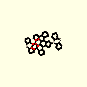 c1ccc(-c2ccccc2-c2c3ccc(N4c5ccccc5Sc5ccccc54)cc3c(-c3ccccc3-c3ccccc3)c3ccc(N4c5ccccc5Sc5ccccc54)cc23)cc1